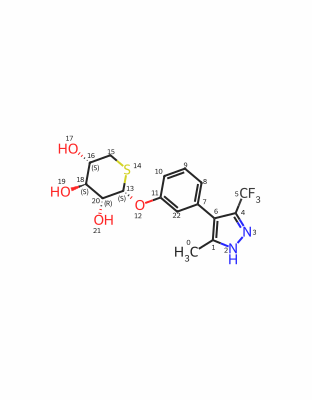 Cc1[nH]nc(C(F)(F)F)c1-c1cccc(O[C@H]2SC[C@@H](O)[C@H](O)[C@H]2O)c1